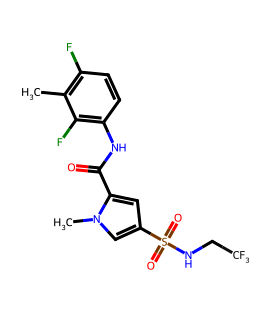 Cc1c(F)ccc(NC(=O)c2cc(S(=O)(=O)NCC(F)(F)F)cn2C)c1F